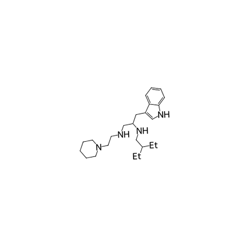 CCC(CC)CNC(CNCCN1CCCCC1)Cc1c[nH]c2ccccc12